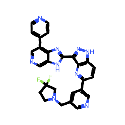 FC1(F)CCN(Cc2cncc(-c3ccc4[nH]nc(-c5nc6c(-c7ccncc7)cncc6[nH]5)c4n3)c2)C1